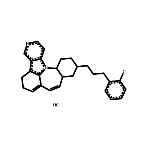 Cl.Clc1ccccc1CCCC1CCC2C(C=CC3=CCCc4c3n2c2ccncc42)C1